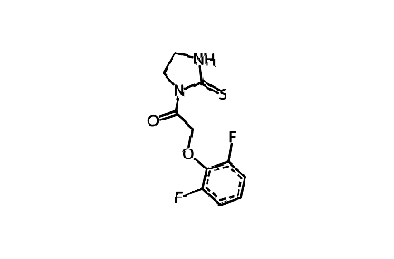 O=C(COc1c(F)cccc1F)N1CCNC1=S